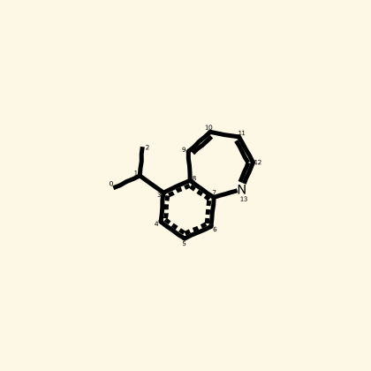 CC(C)c1cccc2c1C=CC=C=N2